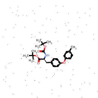 Cc1ccc(Oc2ccc(C[C@H](NC(=O)OC(C)(C)C)C(=O)OC(C)(C)C)cc2)cc1